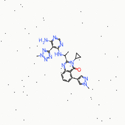 CC(Nc1ncnc(N)c1-c1nnn(C)n1)c1nc2cccc(-c3cnn(C)c3)c2c(=O)n1C1CC1